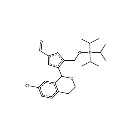 CC(C)[Si](OCc1sc(C=O)cc1C1OCCc2ccc(Cl)cc21)(C(C)C)C(C)C